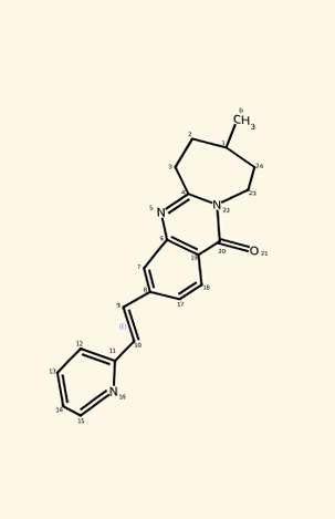 CC1CCc2nc3cc(/C=C/c4ccccn4)ccc3c(=O)n2CC1